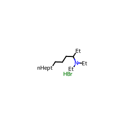 Br.CCCCCCCCCCC(CC)N(CC)CC